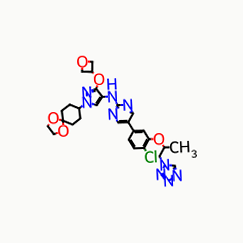 CC(Cn1cnnn1)Oc1cc(-c2cnc(Nc3cn(C4CCC5(CC4)OCCO5)nc3OC3COC3)nc2)ccc1Cl